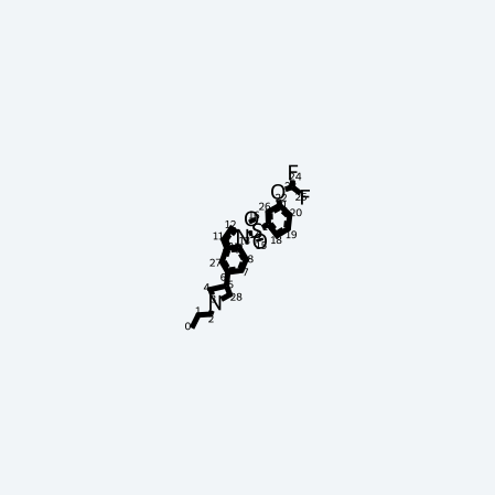 CCCN1CC(c2ccc3c(ccn3S(=O)(=O)c3cccc(OC(F)F)c3)c2)C1